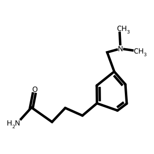 CN(C)Cc1cccc(CCCC(N)=O)c1